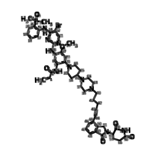 C=CC(=O)Nc1cc(Nc2ncc(Br)c(Nc3ccccc3P(C)(C)=O)n2)c(OC)cc1N1CCC(N2CCN(CCCC#Cc3cccc4c3CN(C3CCC(=O)NC3=O)C4=O)CC2)CC1